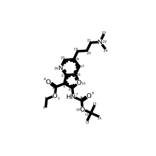 CCOC(=O)c1c(NC(=O)OC(C)(C)C)oc2cc(CCCN(C)C)cnc12